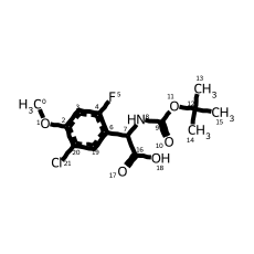 COc1cc(F)c(C(NC(=O)OC(C)(C)C)C(=O)O)cc1Cl